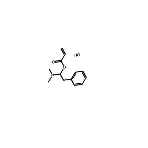 C=CC(=O)OC(Cc1ccccc1)N(C)C.Cl